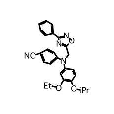 CCOc1cc(N(Cc2nc(-c3ccccc3)no2)c2ccc(C#N)cc2)ccc1OC(C)C